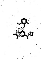 C=C(c1cc(NCc2c(C)cccc2CC)c2nc(C)c(C)n2c1)N1CCC1